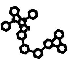 c1ccc(-n2c3c4ccccc4n(-c4ccccc4)c3n3c4ccc(-c5cccc(-c6cccc(-c7ccc8c9ccccc9c9ccccc9c8c7)c6)c5)cc4nc23)cc1